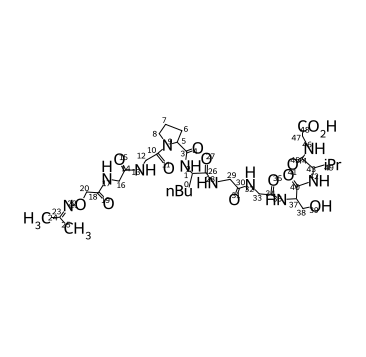 CCCCC(NC(=O)C1CCCN1C(=O)CNC(=O)CNC(=O)CON=C(C)C)C(=O)NCC(=O)NCC(=O)NC(CO)C(=O)NC(C(=O)NCC(=O)O)C(C)C